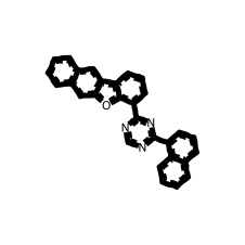 c1ccc2cc3c(cc2c1)oc1c(-c2ncnc(-c4cccc5ccccc45)n2)cccc13